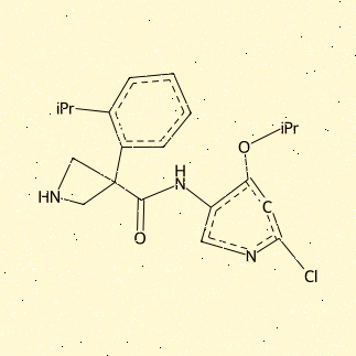 CC(C)Oc1cc(Cl)ncc1NC(=O)C1(c2ccccc2C(C)C)CNC1